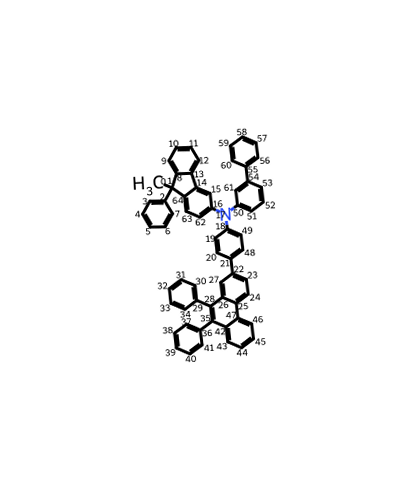 CC1(c2ccccc2)c2ccccc2-c2cc(N(c3ccc(-c4ccc5c(c4)c(-c4ccccc4)c(-c4ccccc4)c4ccccc45)cc3)c3cccc(-c4ccccc4)c3)ccc21